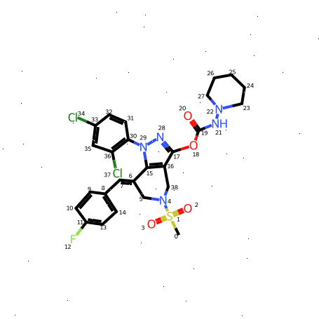 CS(=O)(=O)N1C/C(=C\c2ccc(F)cc2)c2c(c(OC(=O)NN3CCCCC3)nn2-c2ccc(Cl)cc2Cl)C1